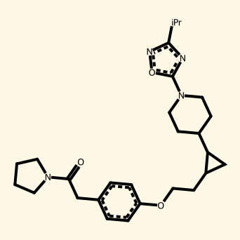 CC(C)c1noc(N2CCC(C3CC3CCOc3ccc(CC(=O)N4CCCC4)cc3)CC2)n1